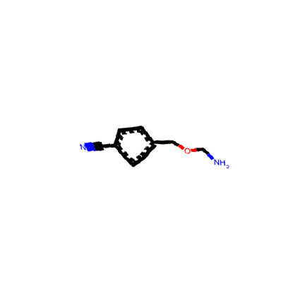 N#Cc1ccc(COCN)cc1